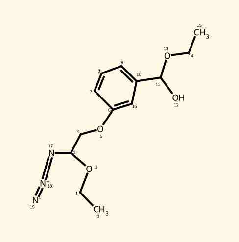 CCOC(COc1cccc(C(O)OCC)c1)N=[N+]=[N-]